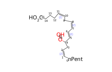 CCCCC/C=C\CC(/C=C/C=C\C/C=C\CCCC(=O)O)OO